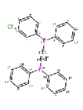 CCP(c1ccccc1)c1ccccc1.[Cl-].[Pd+][P](c1ccccc1)c1ccccc1